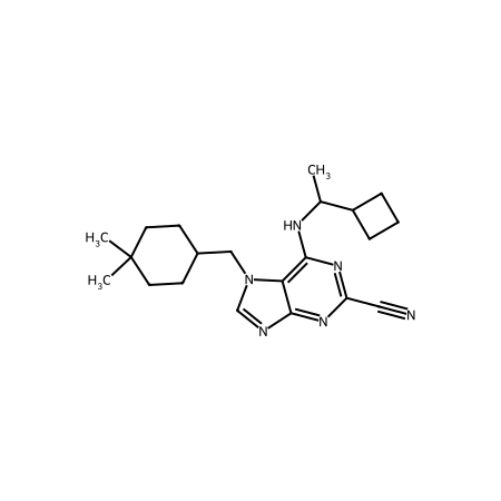 CC(Nc1nc(C#N)nc2ncn(CC3CCC(C)(C)CC3)c12)C1CCC1